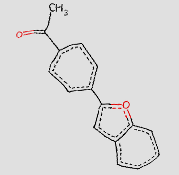 CC(=O)c1ccc(-c2cc3ccccc3o2)cc1